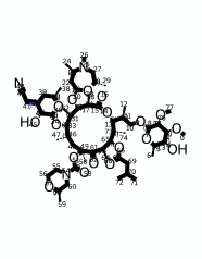 CO[C@@H]1[C@H](O)[C@@H](C)O[C@@H](OC[C@H](C)[C@H]2OC(=O)[C@H](C)[C@@H](O[C@H]3C[C@@H](C)N(C)C[C@H](C)O3)[C@H](C)[C@@H](O[C@@H]3O[C@H](C)C/C(=C\C#N)[C@H]3O)[C@@H](C)C[C@](C)(OC(=O)N3CCO[C@H](C)C3)C(=O)[C@H](C)[C@H](OC(=O)CC(C)C)[C@H]2C)[C@@H]1OC